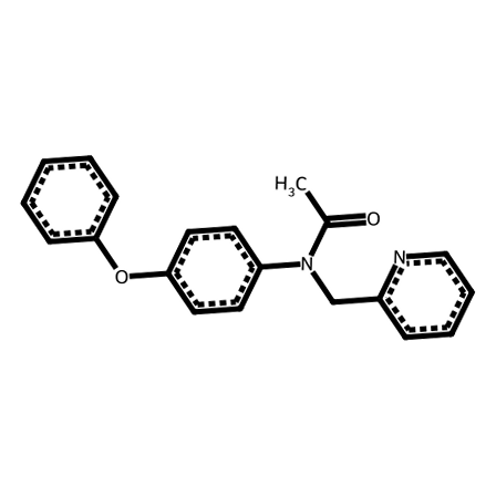 CC(=O)N(Cc1ccccn1)c1ccc(Oc2ccccc2)cc1